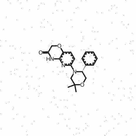 CC1(C)CN(c2ccc3c(n2)NC(=O)CO3)[C@H](c2ccccc2)CO1